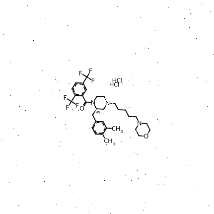 Cc1ccc(C[C@@H]2CN(CCCCCN3CCOCC3)CCN2C(=O)c2cc(C(F)(F)F)ccc2C(F)(F)F)cc1C.Cl.Cl